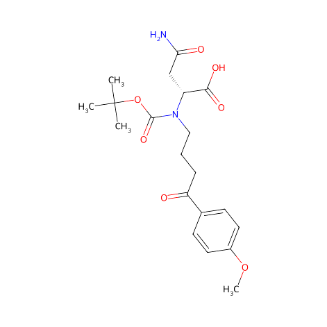 COc1ccc(C(=O)CCCN(C(=O)OC(C)(C)C)[C@H](CC(N)=O)C(=O)O)cc1